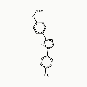 CCCCCOc1ccc(-c2cnc(-c3ccc(C)cc3)[nH]2)cc1